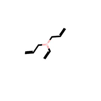 C=CCB(C=C)CC=C